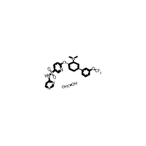 CN(C)[C@H]1C[C@@H](c2cccc(OC(F)(F)F)c2)CC[C@@H]1Oc1ccc(S(=O)(=O)Nc2ccncn2)cn1.O=CO